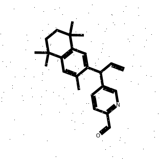 C=CC(c1ccc(C=O)nc1)c1cc2c(cc1C)C(C)(C)CCC2(C)C